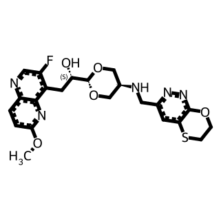 COc1ccc2ncc(F)c(C[C@H](O)[C@H]3OC[C@H](NCc4cc5c(nn4)OCCS5)CO3)c2n1